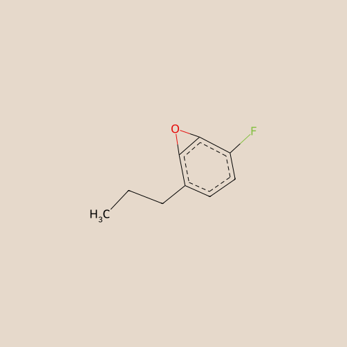 CCCc1ccc(F)c2c1O2